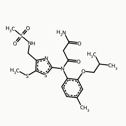 CSc1sc(N(C(=O)CC(N)=O)c2ccc(C)cc2OCC(C)C)nc1CNS(C)(=O)=O